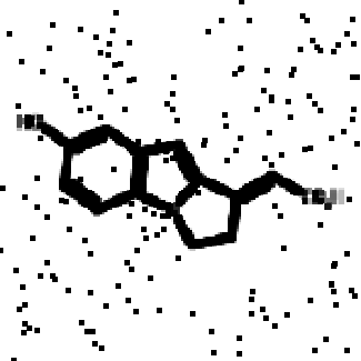 O=C(O)/C=C1\CCn2c1cc1cc(O)ccc12